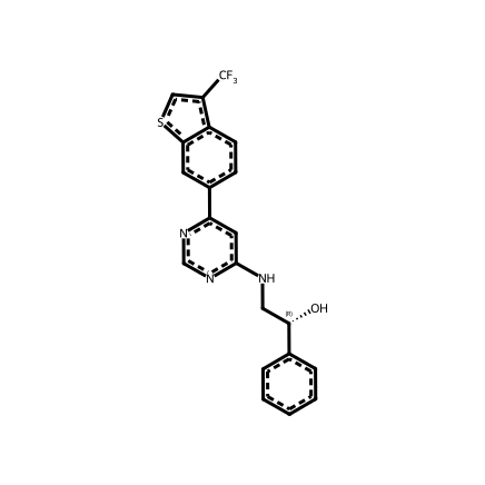 O[C@@H](CNc1cc(-c2ccc3c(C(F)(F)F)csc3c2)ncn1)c1ccccc1